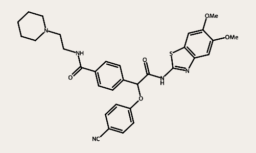 COc1cc2nc(NC(=O)C(Oc3ccc(C#N)cc3)c3ccc(C(=O)NCCN4CCCCC4)cc3)sc2cc1OC